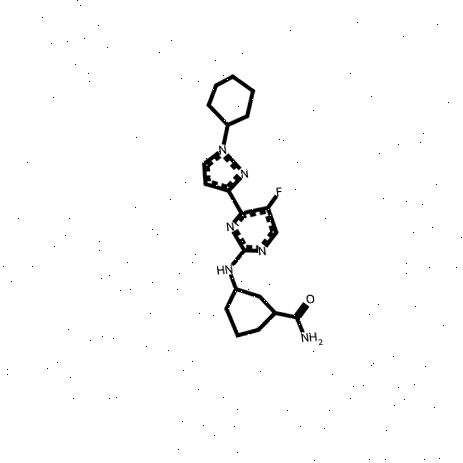 NC(=O)C1CCCC(Nc2ncc(F)c(-c3ccn(C4CCCCC4)n3)n2)C1